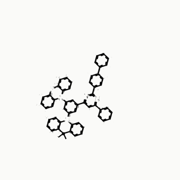 CC1(C)c2ccccc2N(c2cc(-c3cc(-c4ccccc4)nc(-c4ccc(-c5ccccc5)cc4)n3)cc(N3c4ccccc4Sc4ccccc43)c2)c2ccccc21